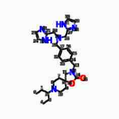 CCC(CC)N1CCC2(CC1)CN(Cc1ccc(CN(Cc3ncc[nH]3)Cc3ncc[nH]3)cc1)C(=O)O2